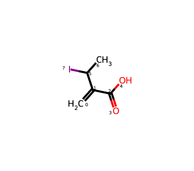 C=C(C(=O)O)C(C)I